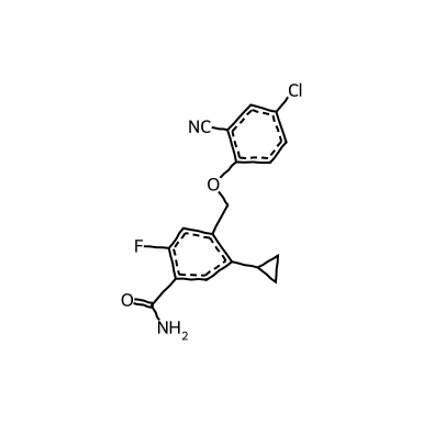 N#Cc1cc(Cl)ccc1OCc1cc(F)c(C(N)=O)cc1C1CC1